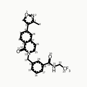 Cc1nocc1-c1ccc2c(=O)n(Cc3cccc(C(=O)NCC(F)(F)F)c3)ccc2c1